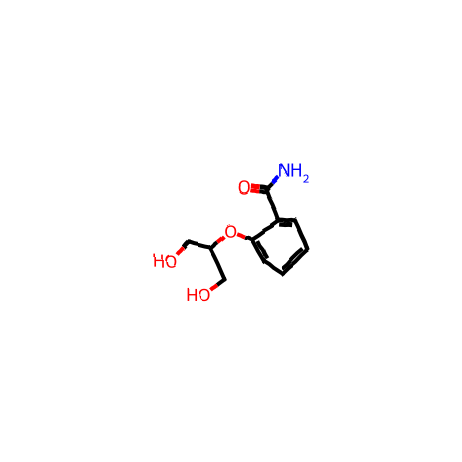 NC(=O)c1ccccc1OC(CO)CO